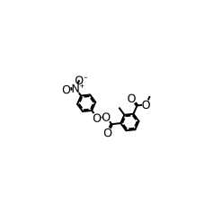 COC(=O)c1cccc(C(=O)OOc2ccc([N+](=O)[O-])cc2)c1C